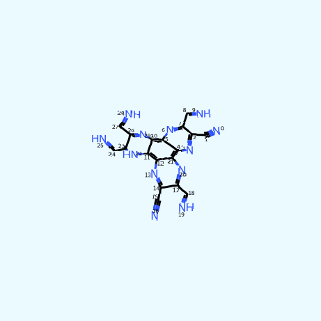 N#Cc1nc2c(nc1C=N)c1c(c3nc(C#N)c(C=N)nc32)NC(C=N)C(C=N)=N1